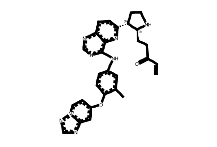 C=CC(=O)CC[C@@H]1NCC[C@H]1c1ccc2ncnc(Nc3ccc(Oc4ccn5ncnc5c4)c(C)c3)c2n1